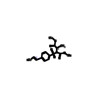 CCCC/C=C/c1ccc(S(=O)(=O)N(C(=O)OC(C)(C)C)[C@H](C)C(=O)OC(C)(C)C)cc1